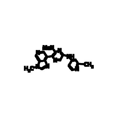 CNc1nc(Nc2ccnc(C)c2)cnc1-c1cncc2c1ncn2C